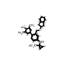 CC(=O)c1c(C)cc(-c2ccc(NC3(C(=O)O)CC3)cc2COC2Cc3ccccc3C2)cc1C